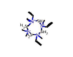 C=C[N+]1(C)[SiH2][N+](C)(C)[SiH2][N+](C)(C=C)[SiH2][N+](C)(C=C)[SiH2]1